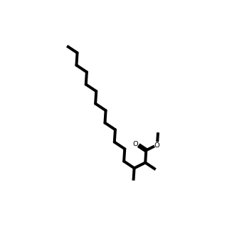 CCCCCCCCCCCCCC(C)C(C)C(=O)OC